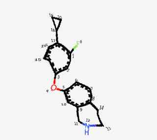 Fc1cc(Oc2ccc3c(c2)CNCC3)ccc1C1CC1